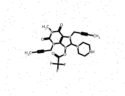 CC#CCN1c2c(n(CC#CC)c(=O)n(C)c2=O)N(OC(=O)C(F)(F)F)C1N1CCNCC1